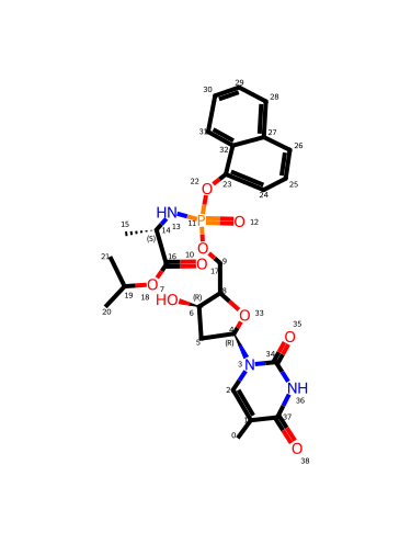 Cc1cn([C@H]2C[C@@H](O)C(COP(=O)(N[C@@H](C)C(=O)OC(C)C)Oc3cccc4ccccc34)O2)c(=O)[nH]c1=O